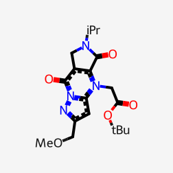 COCc1cc2n(CC(=O)OC(C)(C)C)c3c(c(=O)n2n1)CN(C(C)C)C3=O